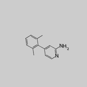 Cc1cccc(C)c1-c1ccnc(N)c1